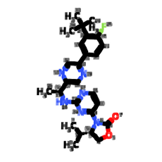 CC(C)[C@H]1COC(=O)N1c1ccnc(N[C@@H](C)c2cnc(-c3ccc(F)c(C(C)(C)C)c3)cn2)n1